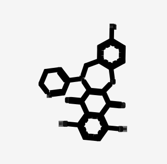 CCc1ccc2c(c1)CN(C1=CCCN=C1)C1=C(O2)C(=O)c2c(O)ccc(O)c2C1=O